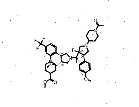 COC[C@H]1CN(C(=O)[C@]2(F)CN(C3CCN(C(C)=O)CC3)C[C@H]2c2ccc(OC)cc2)C[C@@H]1c1ccc(C(F)(F)F)cc1N1CCC(C(=O)OC)CC1